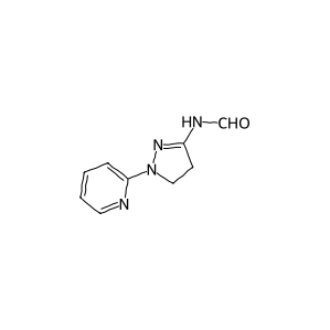 O=CNC1=NN(c2ccccn2)CC1